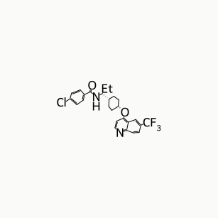 CCC(NC(=O)c1ccc(Cl)cc1)[C@H]1CC[C@@H](Oc2ccnc3ccc(C(F)(F)F)cc23)CC1